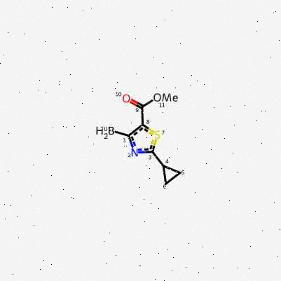 Bc1nc(C2CC2)sc1C(=O)OC